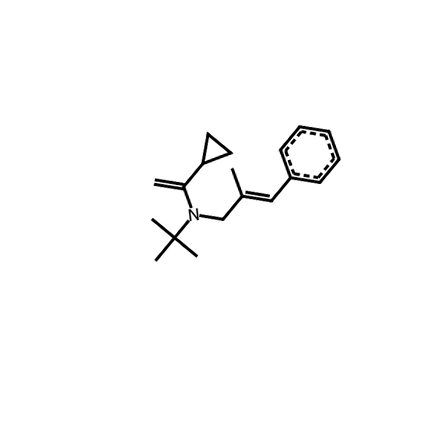 C=C(C1CC1)N(C/C(C)=C/c1ccccc1)C(C)(C)C